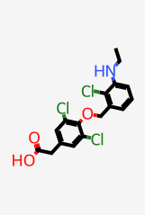 CCNc1cccc(COc2c(Cl)cc(CC(=O)O)cc2Cl)c1Cl